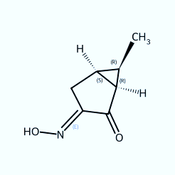 C[C@@H]1[C@@H]2C/C(=N\O)C(=O)[C@H]12